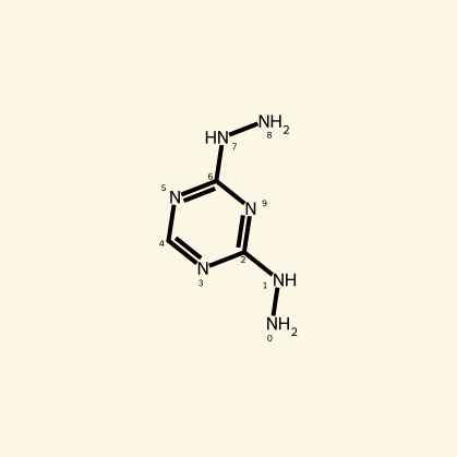 NNc1ncnc(NN)n1